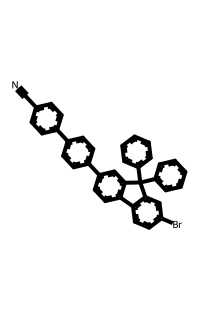 N#Cc1ccc(-c2ccc(-c3ccc4c(c3)C(c3ccccc3)(c3ccccc3)c3cc(Br)ccc3-4)cc2)cc1